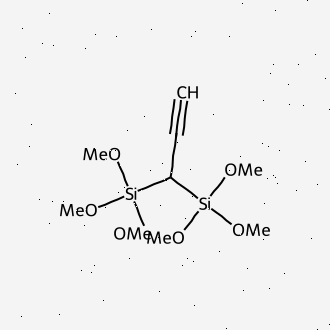 C#CC([Si](OC)(OC)OC)[Si](OC)(OC)OC